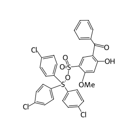 COc1cc(O)c(C(=O)c2ccccc2)cc1S(=O)(=O)OS(c1ccc(Cl)cc1)(c1ccc(Cl)cc1)c1ccc(Cl)cc1